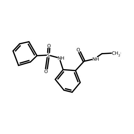 [CH2]CNC(=O)c1ccccc1NS(=O)(=O)c1ccccc1